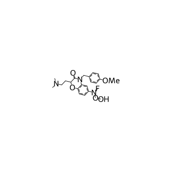 COc1ccc(CN2C(=O)C(CCN(C)C)Oc3ccc(N(F)OO)cc32)cc1